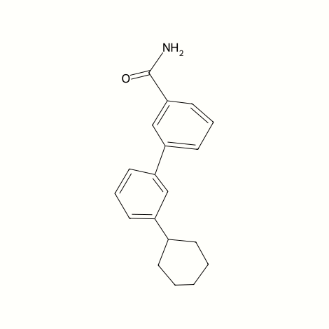 NC(=O)c1cccc(-c2cccc(C3CCCCC3)c2)c1